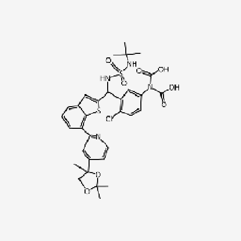 CC(C)(C)NS(=O)(=O)NC(c1cc2cccc(-c3cc(C4(C)COC(C)(C)O4)ccn3)c2s1)c1cc(N(C(=O)O)C(=O)O)ccc1Cl